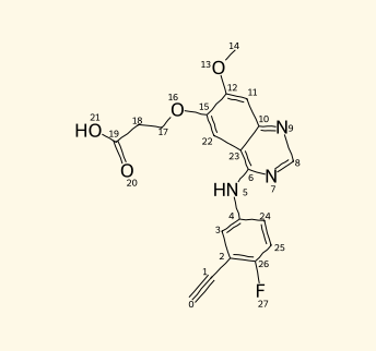 C#Cc1cc(Nc2ncnc3cc(OC)c(OCCC(=O)O)cc23)ccc1F